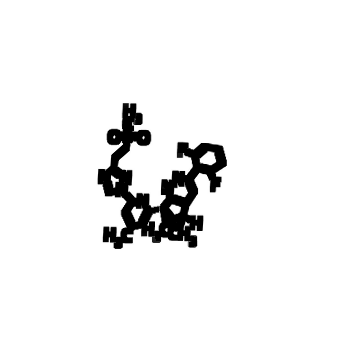 Cc1cc(-n2cnc(CCS(C)(=O)=O)n2)nc([C@]23CC[C@@H](c4cc(-c5c(F)cccc5F)nnc42)C3(C)C)c1